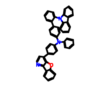 c1ccc(N(c2ccc(-c3ccccc3-n3c4ccccc4c4ccccc43)cc2)c2ccc(-c3ccnc4c3oc3ccccc34)cc2)cc1